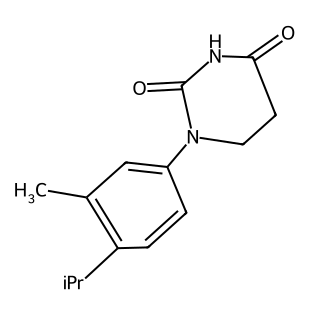 Cc1cc(N2CCC(=O)NC2=O)ccc1C(C)C